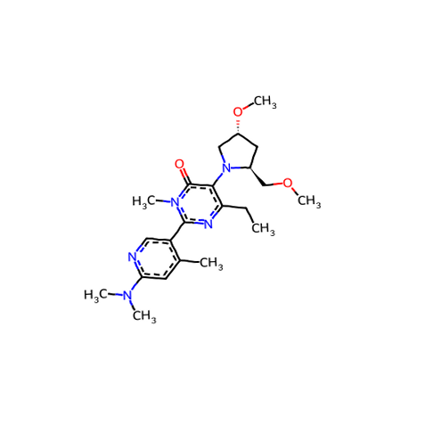 CCc1nc(-c2cnc(N(C)C)cc2C)n(C)c(=O)c1N1C[C@H](OC)C[C@H]1COC